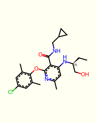 CC[C@@H](CO)Nc1cc(C)nc(Oc2c(C)cc(Cl)cc2C)c1C(=O)NCC1CC1